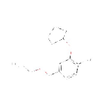 COc1ccc(COCC(=O)O)cc1OC1CCCC1